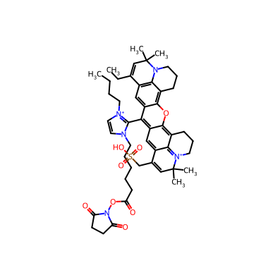 CCCC[n+]1ccn(CCCCCC(=O)ON2C(=O)CCC2=O)c1C1=c2cc3c4c(c2Oc2c1cc1c5c2CCCN5C(C)(C)C=C1CC)CCC[N+]=4C(C)(C)C=C3CS(=O)(=O)O